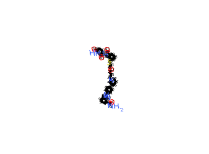 NC(=O)c1cccc2cn(-c3ccc([C@@H]4CCCN(CCCOCCSc5cccc6c5CN(C5CCC(=O)NC5=O)C6=O)C4)cc3)nc12